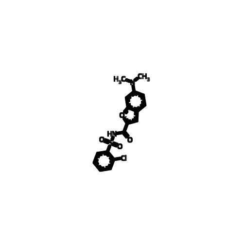 CN(C)c1ccc2cc(C(=O)NS(=O)(=O)c3ccccc3Cl)oc2c1